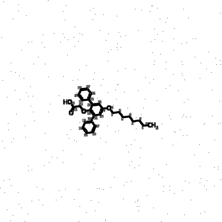 CCCCCCCCOc1cc(-c2ccccc2)c(OCC(=O)O)c(-c2ccccc2)c1